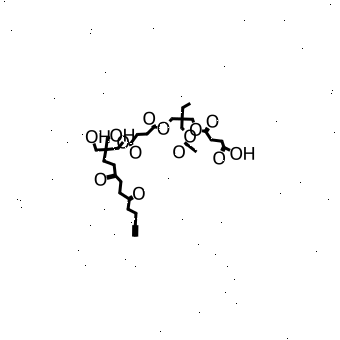 C#CCCC(=O)CCC(=O)CCC(CO)(CO)COC(=O)CCC(=O)OCC(CC)(COC(C)=O)COC(=O)CCC(=O)O